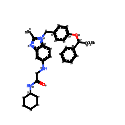 CCCCc1nc2cc(NCC(=O)NC3CCCCC3)ccc2n1Cc1ccc(OC(C(=O)OCC)c2ccccc2)cc1